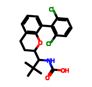 CC(C)(C)C(NC(=O)O)C1CCc2cccc(-c3c(Cl)cccc3Cl)c2O1